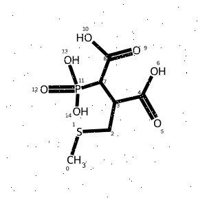 CSCC(C(=O)O)C(C(=O)O)P(=O)(O)O